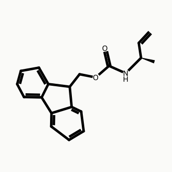 C=C[C@@H](C)NC(=O)OCC1c2ccccc2-c2ccccc21